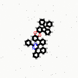 c1ccc(-c2nc(-c3ccccc3-c3ccccc3)cc(-c3ccccc3-c3cccc4c3Oc3c(ccc5c3-c3ccccc3C5(c3ccccc3)c3ccccc3)O4)n2)cc1